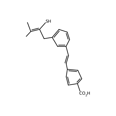 CC(C)=C(S)Cc1cccc(C=Cc2ccc(C(=O)O)cc2)c1